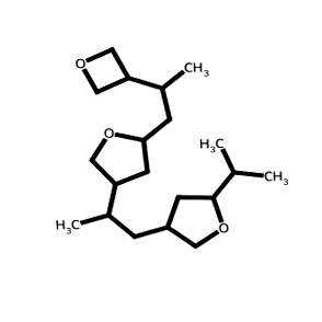 CC(C)C1CC(CC(C)C2COC(CC(C)C3COC3)C2)CO1